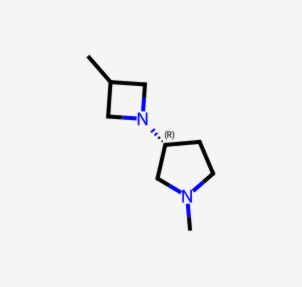 CC1CN([C@@H]2CCN(C)C2)C1